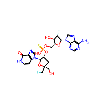 Nc1ncnc2c1ncn2[C@@H]1O[C@H](COP(O)(=S)O[C@@H]2C[C@](CO)(CF)O[C@H]2n2cnc3c(=O)[nH]ccc32)[C@@H](O)[C@@H]1F